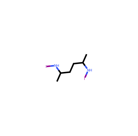 CC(CCC(C)NI)NI